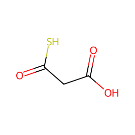 O=C(O)CC(=O)S